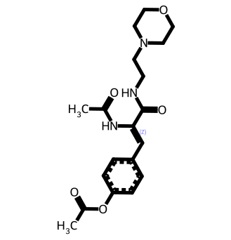 CC(=O)N/C(=C\c1ccc(OC(C)=O)cc1)C(=O)NCCN1CCOCC1